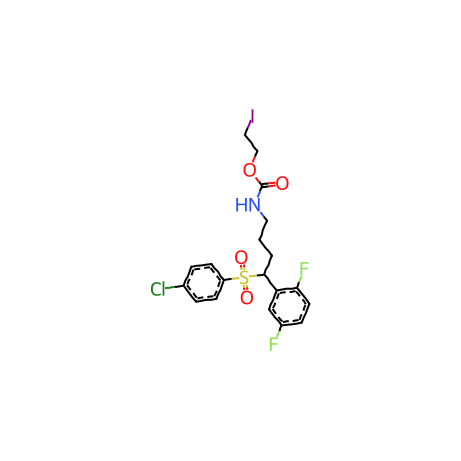 O=C(NCCCC(c1cc(F)ccc1F)S(=O)(=O)c1ccc(Cl)cc1)OCCI